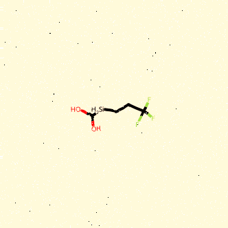 OC(O)[SiH2]CCC(F)(F)F